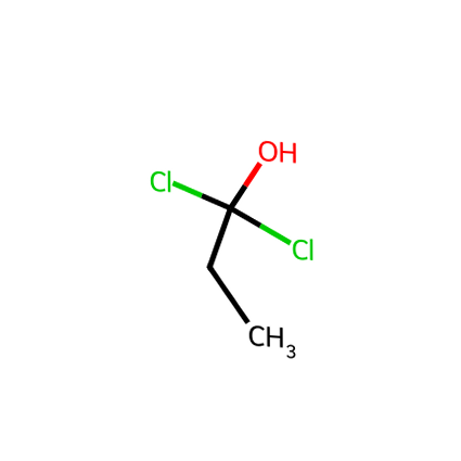 CCC(O)(Cl)Cl